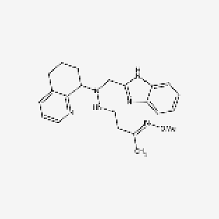 CON=C(C)CCNN(Cc1nc2ccccc2[nH]1)C1CCCc2cccnc21